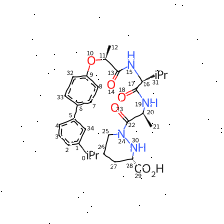 CC(C)c1cccc(-c2ccc(O[C@@H](C)C(=O)N[C@H](C(=O)N[C@@H](C)C(=O)N3CCC[C@@H](C(=O)O)N3)C(C)C)cc2)c1